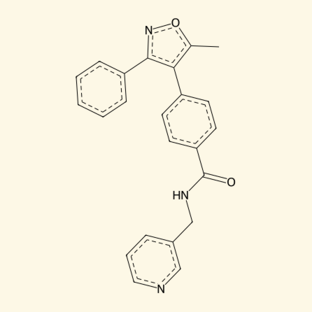 Cc1onc(-c2ccccc2)c1-c1ccc(C(=O)NCc2cccnc2)cc1